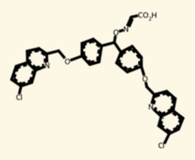 O=C(O)C=NOC(c1ccc(OCc2ccc3ccc(Cl)cc3n2)cc1)c1ccc(OCc2ccc3ccc(Cl)cc3n2)cc1